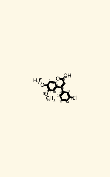 COc1ccc(/C(=C\C(=O)O)c2cccc(Cl)c2)cc1OC